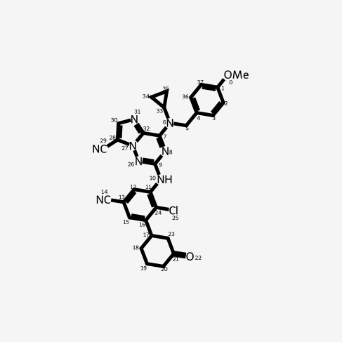 COc1ccc(CN(c2nc(Nc3cc(C#N)cc(C4CCCC(=O)C4)c3Cl)nn3c(C#N)cnc23)C2CC2)cc1